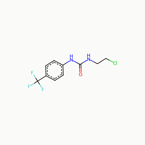 O=C(NCCCl)Nc1ccc(C(F)(F)F)cc1